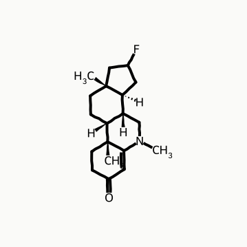 CN1C[C@@H]2[C@@H](CC[C@]3(C)CC(F)C[C@@H]23)[C@@]2(C)CCC(=O)C=C12